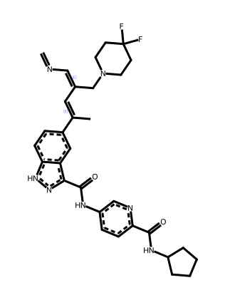 C=N/C=C(\C=C(/C)c1ccc2[nH]nc(C(=O)Nc3ccc(C(=O)NC4CCCC4)nc3)c2c1)CN1CCC(F)(F)CC1